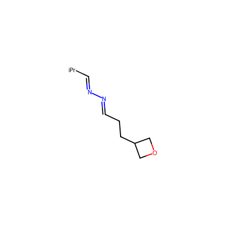 CC(C)/C=N/N=C/CCC1COC1